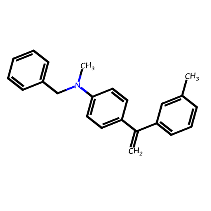 C=C(c1ccc(N(C)Cc2ccccc2)cc1)c1cccc(C)c1